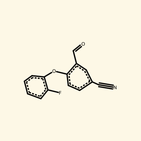 N#Cc1ccc(Oc2ccccc2F)c(C=O)c1